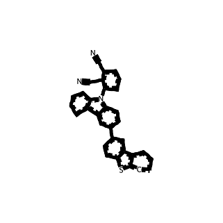 N#Cc1cccc(-n2c3ccccc3c3cc(-c4ccc5sc6ccccc6c5c4)ccc32)c1C#N